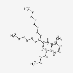 CCCCCCCCC(CCCCCC)C(=S)Nc1c(C)ccnc1SCCCC